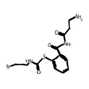 NCCC(=O)NC(=O)c1ccccc1SC(=O)NCCBr